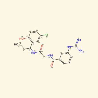 N=C(N)Nc1cccc(C(=O)NCC(=O)NC(CC(=O)O)c2cc(Cl)ccc2O)c1